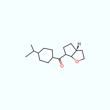 CC(C)C1CCC(C(=O)C2CC[C@@H]3CCOC23)CC1